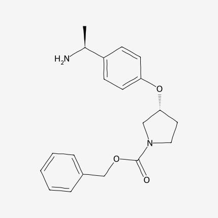 C[C@H](N)c1ccc(O[C@@H]2CCN(C(=O)OCc3ccccc3)C2)cc1